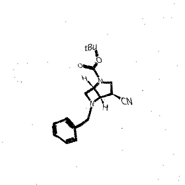 CC(C)(C)OC(=O)N1C[C@@H](C#N)[C@H]2[C@@H]1CN2Cc1ccccc1